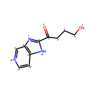 O=C(CCCO)c1nc2cnccc2[nH]1